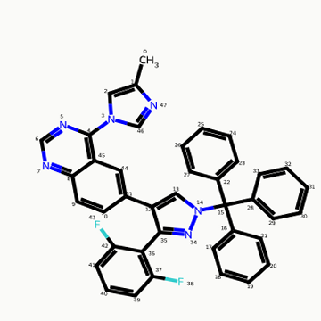 Cc1cn(-c2ncnc3ccc(-c4cn(C(c5ccccc5)(c5ccccc5)c5ccccc5)nc4-c4c(F)cccc4F)cc23)cn1